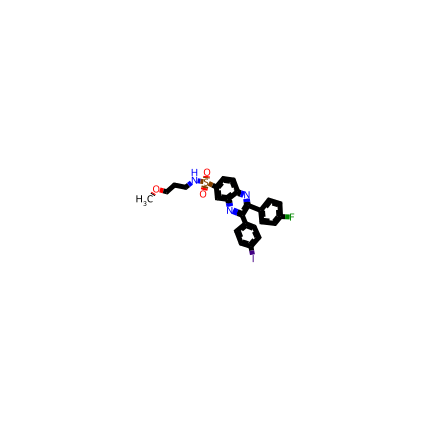 COCCCNS(=O)(=O)c1ccc2nc(-c3ccc(F)cc3)c(-c3ccc(I)cc3)nc2c1